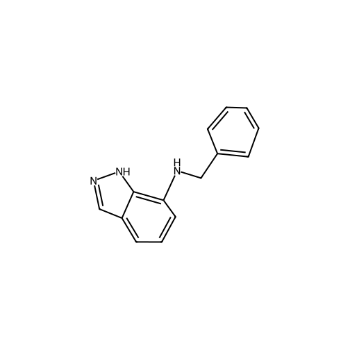 c1ccc(CNc2cccc3cn[nH]c23)cc1